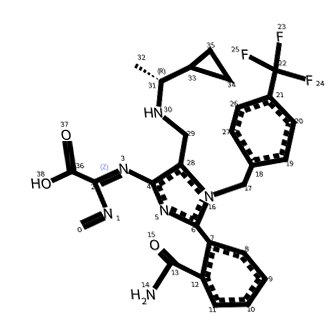 C=N/C(=N\c1nc(-c2ccccc2C(N)=O)n(Cc2ccc(C(F)(F)F)cc2)c1CN[C@H](C)C1CC1)C(=O)O